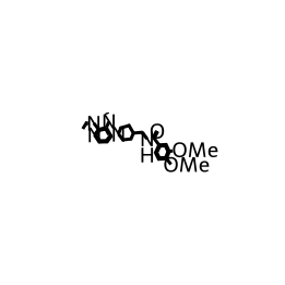 C=Nc1c(N2CCC(CNC(=O)c3ccc(OC)c(OC)c3)CC2)ccnc1/N=C\C